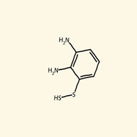 Nc1cccc(SS)c1N